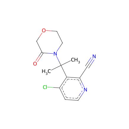 CC(C)(c1c(Cl)ccnc1C#N)N1CCOCC1=O